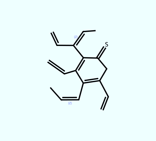 C=CC1=C(/C=C\C)C(C=C)=C(/C(C=C)=C\C)C(=S)C1